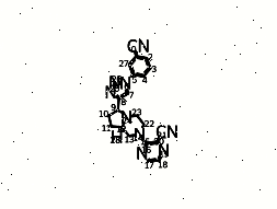 N#Cc1cccc(-n2cc(C3CC[C@H]4CN(c5nccnc5C#N)CCN34)nn2)c1